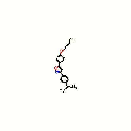 CCCCOc1ccc(-c2cc(-c3ccc(C(C)C)cc3)no2)cc1